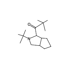 CC(C)(C)C(=O)C1C2CCCC2CN1C(C)(C)C